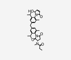 CCC(=O)N(C)[C@H]1CC(=O)N(c2c(C)cc(Cc3cc(C)c(N4C(=O)C=CC4O)c(C(C)C)c3)cc2C(C)C)C1=O